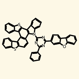 c1ccc(-c2nc(-c3ccc4c(c3)oc3ccccc34)nc(-n3c4ccccc4c4c5sc6ccccc6c5c5c(ccc6sc7ccccc7c65)c43)n2)cc1